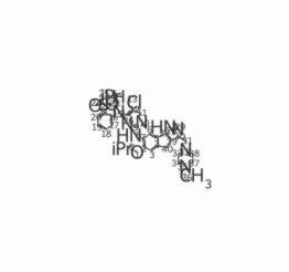 CC(C)Oc1cc2c(cc1Nc1ncc(Cl)c(Nc3ccccc3S(=O)(=O)C(C)C)n1)-c1[nH]nc(CN3CCN(C)CC3)c1C2